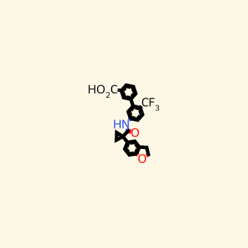 O=C(O)c1cccc(-c2cc(NC(=O)C3(c4ccc5c(c4)CCO5)CC3)ccc2C(F)(F)F)c1